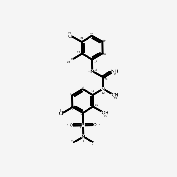 CN(C)S(=O)(=O)c1c(Cl)ccc(N(C#N)C(=N)Nc2cccc(Cl)c2F)c1O